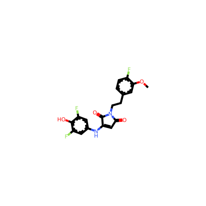 COc1cc(CCN2C(=O)C=C(Nc3cc(F)c(O)c(F)c3)C2=O)ccc1F